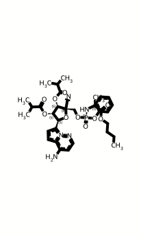 CCCCOC(=O)[C@H](C)N[P@](=O)(OC[C@@]1(C#N)O[C@@H](c2ccc3c(N)ccnn23)[C@H](OC(=O)C(C)C)[C@@H]1OC(=O)C(C)C)Oc1ccccc1